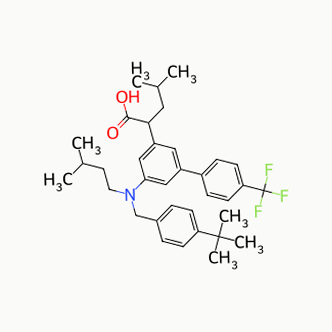 CC(C)CCN(Cc1ccc(C(C)(C)C)cc1)c1cc(-c2ccc(C(F)(F)F)cc2)cc(C(CC(C)C)C(=O)O)c1